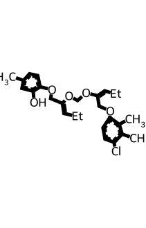 CC/C=C(/COc1ccc(C)cc1O)OCO/C(=C/CC)COc1ccc(Cl)c(C)c1C